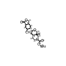 Cc1cc2c(cc1[C@H]1CN3CCN(C(=O)OC(C)(C)C)C[C@H]3CO1)COC2=O